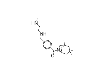 CNCCNCc1ccc(C(=O)N2CC3(C)CC2CC(C)(C)C3)cc1